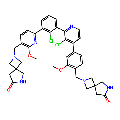 COc1cc(-c2ccnc(-c3cccc(-c4ccc(CN5CC6(CNC(=O)C6)C5)c(OC)n4)c3Cl)c2Cl)ccc1CN1CC2(CNC(=O)C2)C1